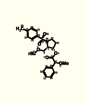 CCCCOC[C@@H]1[C@@H](OC(=O)[C@@H](OC)c2ccccc2)CCN1S(=O)(=O)c1ccc(C)cc1